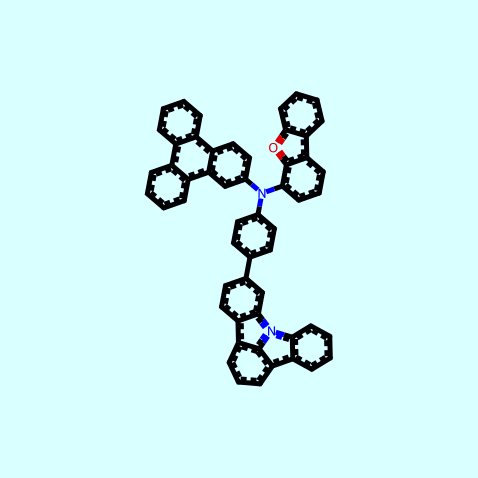 c1ccc2c(c1)oc1c(N(c3ccc(-c4ccc5c6cccc7c8ccccc8n(c5c4)c76)cc3)c3ccc4c5ccccc5c5ccccc5c4c3)cccc12